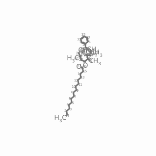 CCCCCCCCCCCCCCCCC(=O)OC1CC(C)(CC)N(OC(C)c2ccccc2)C(C)(CC)C1C